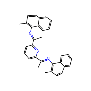 CC(=Nc1c(C)ccc2ccccc12)c1cccc(C(C)=Nc2c(C)ccc3ccccc23)n1